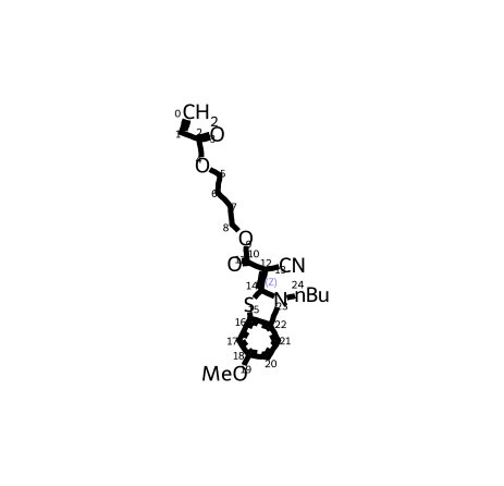 C=CC(=O)OCCCCOC(=O)/C(C#N)=C1\Sc2cc(OC)ccc2N1CCCC